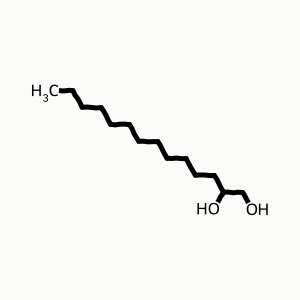 CCCCCCCCCCCC[C](O)CO